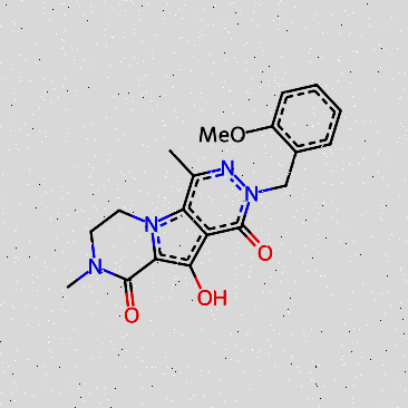 COc1ccccc1Cn1nc(C)c2c(c(O)c3n2CCN(C)C3=O)c1=O